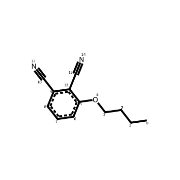 CCCCOc1cc[c]c(C#N)c1C#N